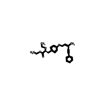 CCOC(=O)[C@H](Cc1ccc(OCC=C(C)C#Cc2ccccc2)cc1)OCC